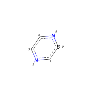 b1cnccn1